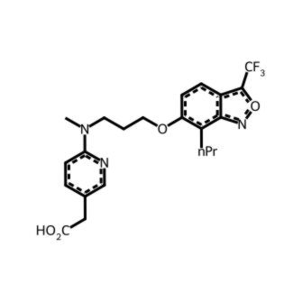 CCCc1c(OCCCN(C)c2ccc(CC(=O)O)cn2)ccc2c(C(F)(F)F)onc12